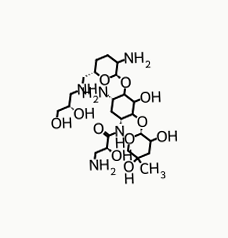 CC1(O)CO[C@H](OC2C(O)C(O[C@H]3O[C@H](CNC[C@H](O)CO)CCC3N)[C@@H](N)C[C@H]2NC(=O)[C@@H](O)CN)C(O)C1